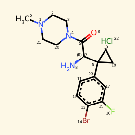 CN1CCN(C(=O)[C@H](N)C2(c3ccc(Br)c(F)c3)CC2)CC1.Cl